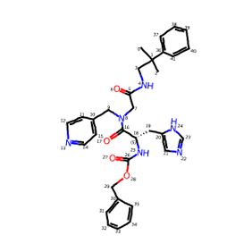 CC(C)(CNC(=O)CN(Cc1ccncc1)C(=O)[C@H](Cc1cnc[nH]1)NC(=O)OCc1ccccc1)c1ccccc1